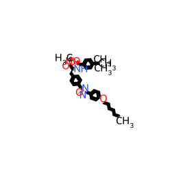 CCCCCCCOc1ccc(-c2noc(-c3ccc(C[C@H](NC(O)c4ccc(C(C)(C)C)cc4)C(=O)OC)cc3)n2)cc1